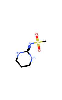 CS(=O)(=O)N=C1NCCCN1